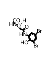 O=C(O)NOCC(=O)Nc1cc(Br)cc(Br)c1O